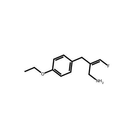 CCOc1ccc(C/C(=C/F)CN)cc1